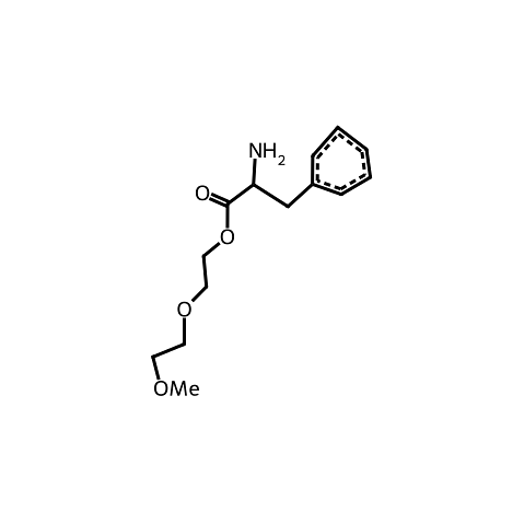 COCCOCCOC(=O)C(N)Cc1ccccc1